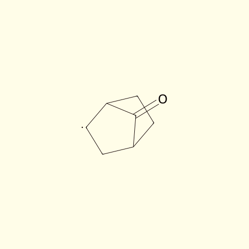 O=C1C2[CH]CC1CC2